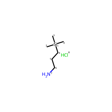 C[Si](C)(C)CCCN.Cl